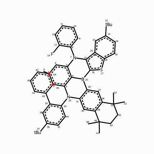 Cc1cc2c3c(c1)N(c1ccccc1F)c1c(sc4ccc(C(C)(C)C)cc14)B3c1cc3c(cc1N2c1ccc(C(C)(C)C)cc1-c1ccccc1)C(C)(C)CCC3(C)C